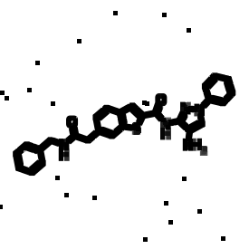 Nc1cn(-c2ccccc2)nc1NC(=O)c1cc2ccc(CC(=O)NCc3ccccc3)cc2s1